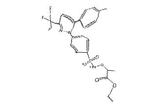 CCOC(=O)C(C)ONS(=O)(=O)c1ccc(-n2nc(C(F)(F)F)cc2-c2ccc(C)cc2)cc1